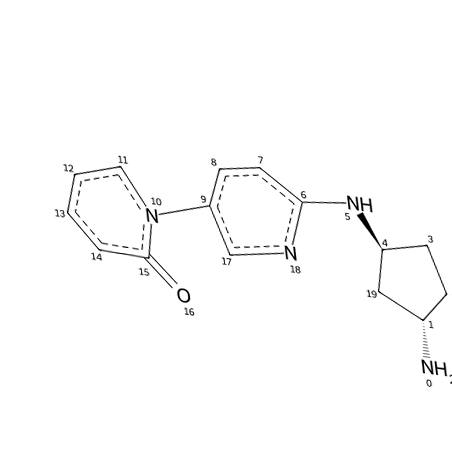 N[C@H]1CC[C@H](Nc2ccc(-n3ccccc3=O)cn2)C1